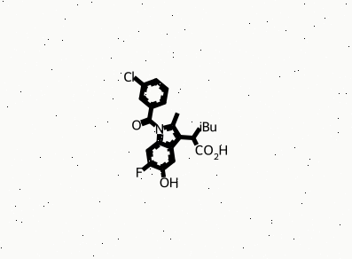 CCC(C)C(C(=O)O)c1c(C)n(C(=O)c2cccc(Cl)c2)c2cc(F)c(O)cc12